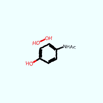 CC(=O)Nc1ccc(O)cc1.OO